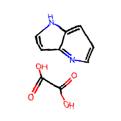 O=C(O)C(=O)O.c1cnc2cc[nH]c2c1